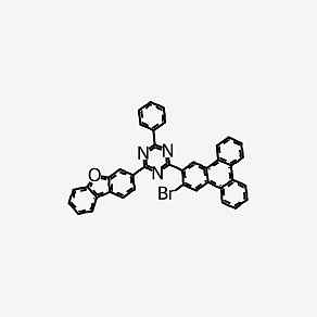 Brc1cc2c3ccccc3c3ccccc3c2cc1-c1nc(-c2ccccc2)nc(-c2ccc3c(c2)oc2ccccc23)n1